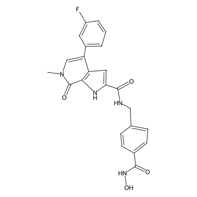 Cn1cc(-c2cccc(F)c2)c2cc(C(=O)NCc3ccc(C(=O)NO)cc3)[nH]c2c1=O